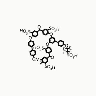 COc1ccc(-c2ccc(Oc3ccc(C(=O)c4ccc(Oc5cc(Oc6ccc(C(=O)c7ccc(C)c(S(=O)(=O)O)c7)cc6S(=O)(=O)O)cc(-c6ccc(OC(F)(F)C(F)(F)S(=O)(=O)O)cc6)c5)c(S(=O)(=O)O)c4)cc3S(=O)(=O)O)cc2)cc1